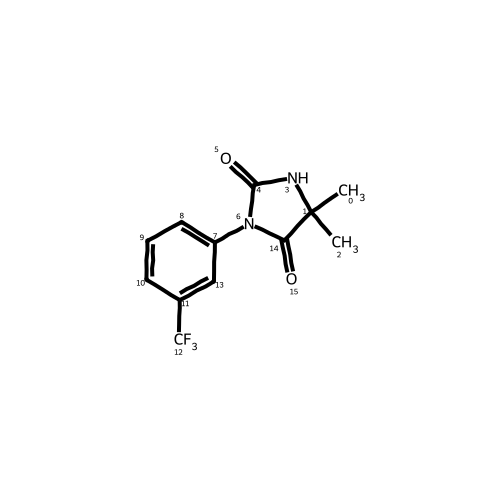 CC1(C)NC(=O)N(c2cccc(C(F)(F)F)c2)C1=O